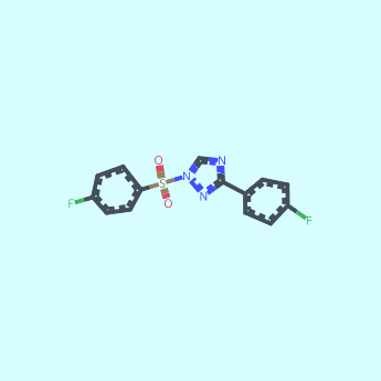 O=S(=O)(c1ccc(F)cc1)n1cnc(-c2ccc(F)cc2)n1